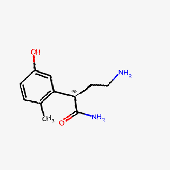 Cc1ccc(O)cc1[C@@H](CCN)C(N)=O